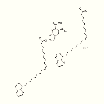 O=C(O)c1nc2ccccc2cc1[O][Cu].O=C([O-])CCCCCCC/C=C\CCCCCCCCc1cccc2cccnc12.O=C([O-])CCCCCCC/C=C\CCCCCCCCc1cccc2cccnc12.[Cu+2]